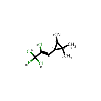 CC1(C)C(C#N)C1C=C(Cl)C(F)(Cl)Cl